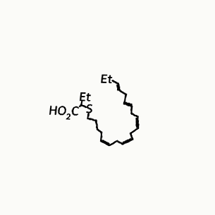 CCC=CCC=CC/C=C\C/C=C\C/C=C\CCCCSC(CC)C(=O)O